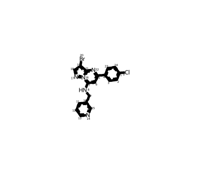 Clc1ccc(-c2cc(NCc3cccnc3)n3ncc(Br)c3n2)cc1